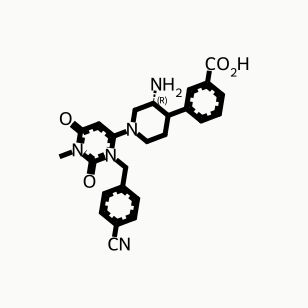 Cn1c(=O)cc(N2CCC(c3cccc(C(=O)O)c3)[C@@H](N)C2)n(Cc2ccc(C#N)cc2)c1=O